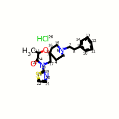 CC1OC2(CCN(CCc3ccccc3)CC2)CN(c2nccs2)C1=O.Cl